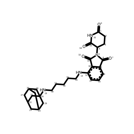 O=C1CCC(N2C(=O)c3cccc(NCCCCCNC45CC6CC(CC(C6)C4)C5)c3C2=O)C(=O)N1